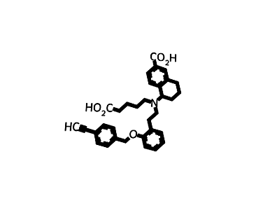 C#Cc1ccc(COc2ccccc2CCN(CCCCC(=O)O)C2CCCc3cc(C(=O)O)ccc32)cc1